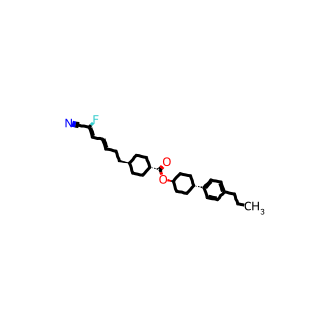 CCCc1ccc([C@H]2CC[C@H](OC(=O)[C@H]3CC[C@H](CCC=CC=C(F)C#N)CC3)CC2)cc1